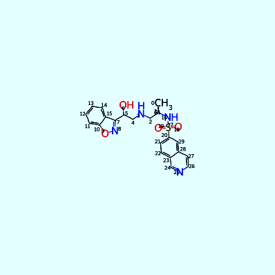 C[C@H](CNCC(O)c1noc2ccccc12)NS(=O)(=O)c1ccc2cnccc2c1